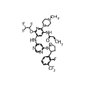 C=CC(=O)Nc1cc(Nc2cc(N3OCCC3c3cccc(C(F)(F)F)c3F)ncn2)c(OC(F)C(F)F)nc1N1CCN(C)CC1